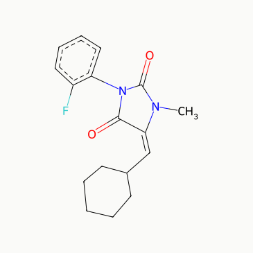 CN1C(=O)N(c2ccccc2F)C(=O)C1=CC1CCCCC1